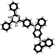 C1=CC2C(C=C1n1c3ccccc3c3ccccc31)c1ccccc1N2c1ccc(C2N=C(c3ccccc3)NC(c3ccccc3)N2)cc1